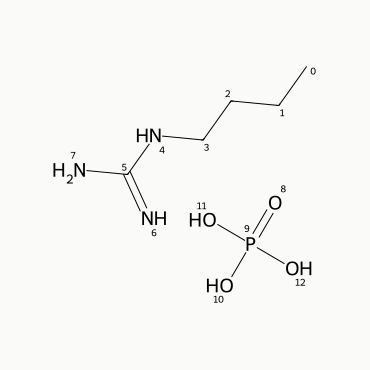 CCCCNC(=N)N.O=P(O)(O)O